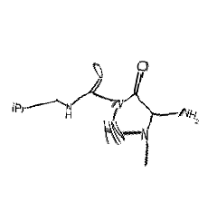 CC(C)CNC(=O)N1NN(C)C(N)C1=O